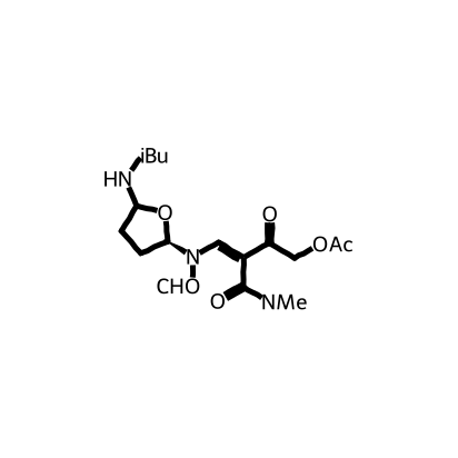 CCC(C)NC1CC[C@H](N(C=O)/C=C(/C(=O)COC(C)=O)C(=O)NC)O1